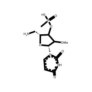 COC1C(OP(C)(=O)S)[C@@H](CN)O[C@H]1n1ccc(=O)[nH]c1=O